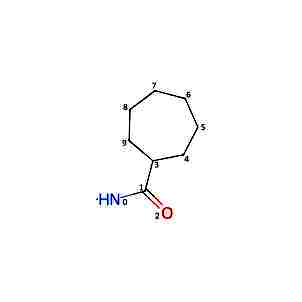 [NH]C(=O)C1CCCCCC1